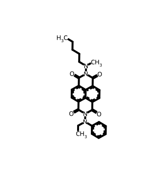 CCCCCN(C)N1C(=O)c2ccc3c4c(ccc(c24)C1=O)C(=O)N(N(CC)c1ccccc1)C3=O